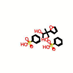 CC(O)C(C)(CO)c1ccco1.O=S(=O)(O)c1ccccc1.O=S(=O)(O)c1ccccc1